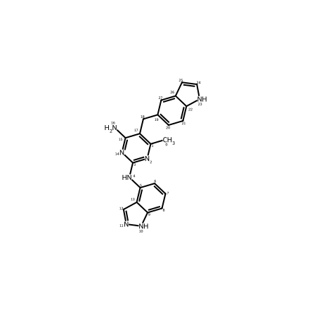 Cc1nc(Nc2cccc3[nH]ncc23)nc(N)c1Cc1ccc2[nH]ccc2c1